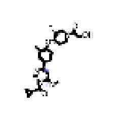 C=N/C(=C\C(=N/C)NC(=O)C1CC1)c1ccc(O[C@H]2CCN(C(=O)CO)C[C@H]2F)c(C)c1